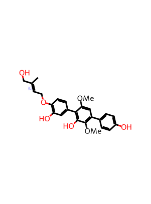 COc1cc(-c2ccc(O)cc2)c(OC)c(O)c1-c1ccc(OC/C=C(\C)CO)c(O)c1